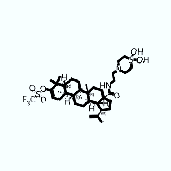 C=C(C)[C@@H]1CC[C@]2(C(=O)NCCN3CCS(O)(O)CC3)CC[C@]3(C)[C@H](CC[C@@H]4[C@@]5(C)CC=C(OS(=O)(=O)C(F)(F)F)C(C)(C)[C@@H]5CC[C@]43C)[C@@H]12